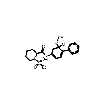 CCS(=O)(=O)N1CCCCC1C(=O)NC1=CC=C(c2ccccc2)C(Cl)(OC(F)(F)F)C1